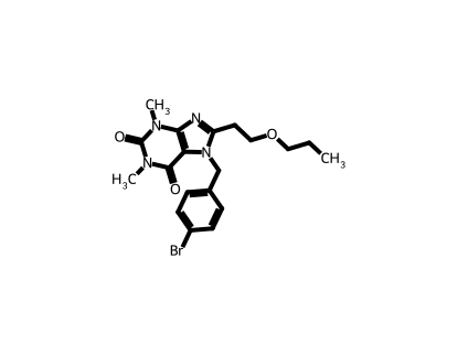 CCCOCCc1nc2c(c(=O)n(C)c(=O)n2C)n1Cc1ccc(Br)cc1